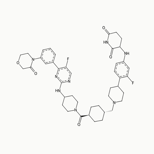 O=C1CCC(Nc2ccc(C3CCN(C[C@H]4CC[C@H](C(=O)N5CCC(Nc6ncc(F)c(-c7cccc(N8CCOCC8=O)c7)n6)CC5)CC4)CC3)c(F)c2)C(=O)N1